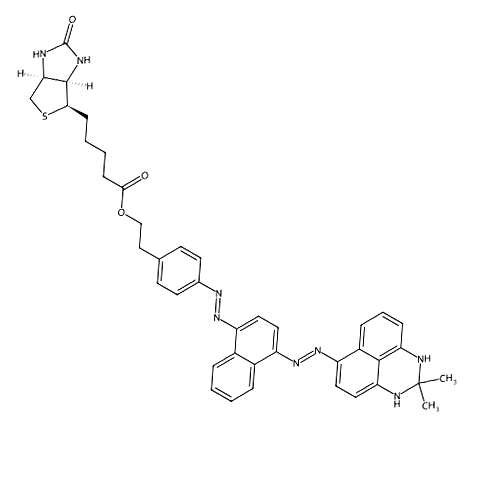 CC1(C)Nc2cccc3c(/N=N/c4ccc(N=Nc5ccc(CCOC(=O)CCCC[C@H]6SC[C@H]7NC(=O)N[C@H]76)cc5)c5ccccc45)ccc(c23)N1